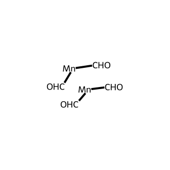 O=[CH][Mn][CH]=O.O=[CH][Mn][CH]=O